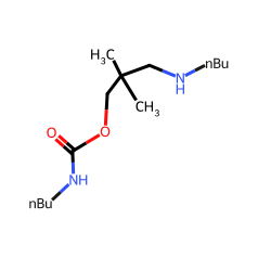 CCCCNCC(C)(C)COC(=O)NCCCC